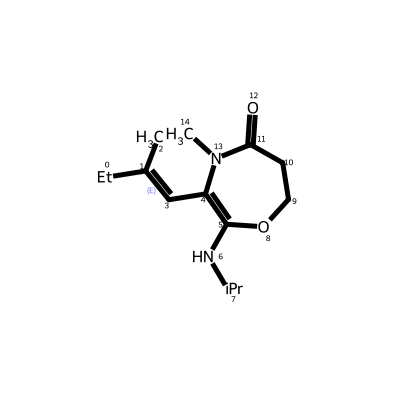 CC/C(C)=C/C1=C(NC(C)C)OCCC(=O)N1C